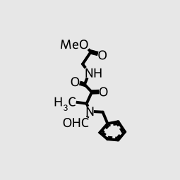 COC(=O)CNC(=O)C(=O)C(C)N(C=O)Cc1ccccc1